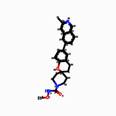 CCONC(=O)N1CCC2(CCc3cc(-c4ccc5cnc(C)cc5c4)ccc3O2)CC1